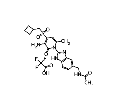 CC(=O)NCc1ccc2[nH]c(-n3c(C)cc(S(=O)(=O)CC4CCC4)c(N)c3=O)nc2c1.O=C(O)C(F)(F)F